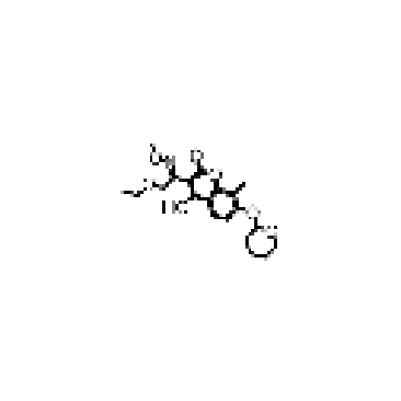 CCOC/C(=N\OC)c1c(O)c2ccc(OC3CCCCO3)c(C)c2oc1=O